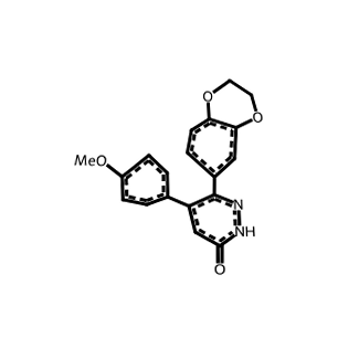 COc1ccc(-c2cc(=O)[nH]nc2-c2ccc3c(c2)OCCO3)cc1